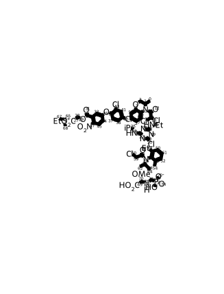 CC1COc2ccccc2N1C(=O)C(Cl)Cl.CCNc1nc(Cl)nc(NC(C)C)n1.CCOC(=O)COC(=O)c1cc(Oc2ccc(C(F)(F)F)cc2Cl)ccc1[N+](=O)[O-].CCc1cccc(C)c1N(C(=O)CCl)C(C)COC.C[S+](C)C.O=C(O)CNCP(=O)([O-])O